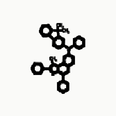 Cc1c(-c2ccccc2)nn2c(-c3ccccc3)cc3ccc(N(c4ccccc4)c4ccc5c(c4)C(C)(C)c4ccccc4-5)cc3c12